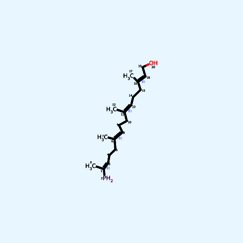 C/C(P)=C\CC/C(C)=C/CC/C(C)=C/CC/C(C)=C/CO